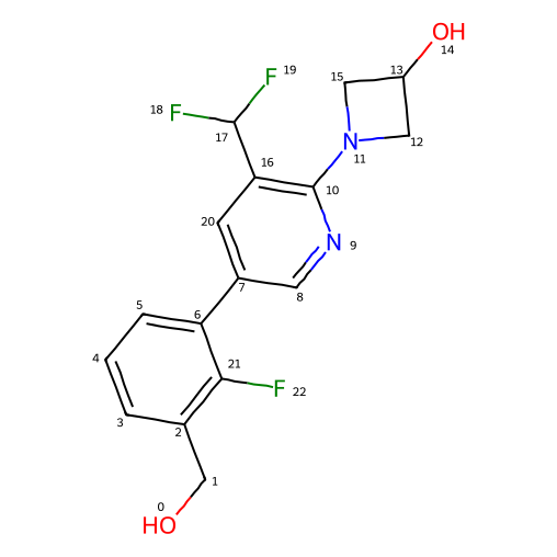 OCc1cccc(-c2cnc(N3CC(O)C3)c(C(F)F)c2)c1F